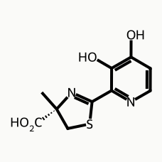 C[C@]1(C(=O)O)CSC(c2nccc(O)c2O)=N1